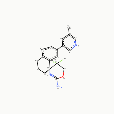 N#Cc1cncc(-c2ccc3c(c2)[C@@]2(CCC3)N=C(N)OCC2(F)F)c1